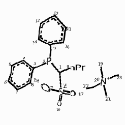 CCCC(P(c1ccccc1)c1ccccc1)S(=O)(=O)[O-].C[N+](C)(C)C